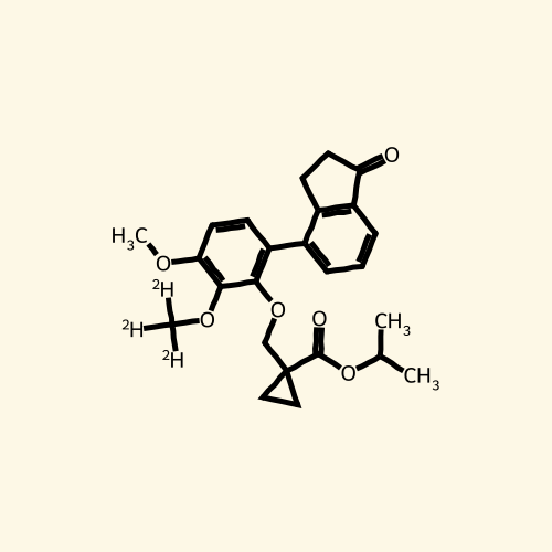 [2H]C([2H])([2H])Oc1c(OC)ccc(-c2cccc3c2CCC3=O)c1OCC1(C(=O)OC(C)C)CC1